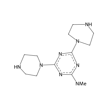 CNc1nc(N2CCNCC2)nc(N2CCNCC2)n1